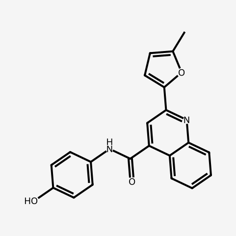 Cc1ccc(-c2cc(C(=O)Nc3ccc(O)cc3)c3ccccc3n2)o1